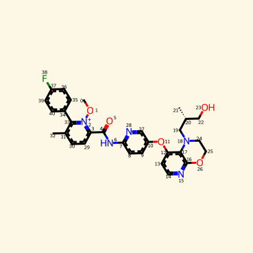 CO[n+]1c(C(=O)Nc2ccc(Oc3ccnc4c3N(C[C@H](C)CO)CCO4)cn2)ccc(C)c1-c1ccc(F)cc1